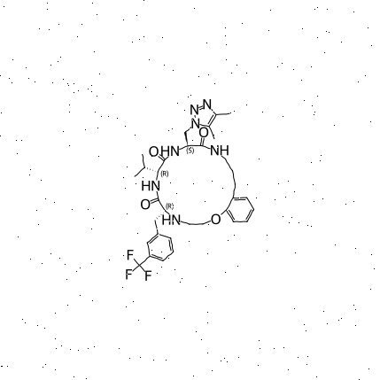 Cc1nnn(C[C@@H]2NC(=O)[C@@H](C(C)C)NC(=O)[C@@H](Cc3cccc(C(F)(F)F)c3)NCCOc3ccccc3CCCNC2=O)c1C